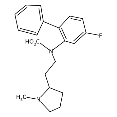 CN1CCCC1CCN(C(=O)O)c1cc(F)ccc1-c1ccccc1